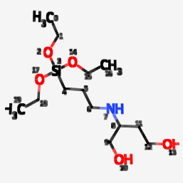 CCO[Si](CCCNC(CO)CCO)(OCC)OCC